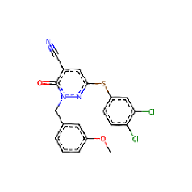 COc1cccc(Cn2nc(Sc3ccc(Cl)c(Cl)c3)cc(C#N)c2=O)c1